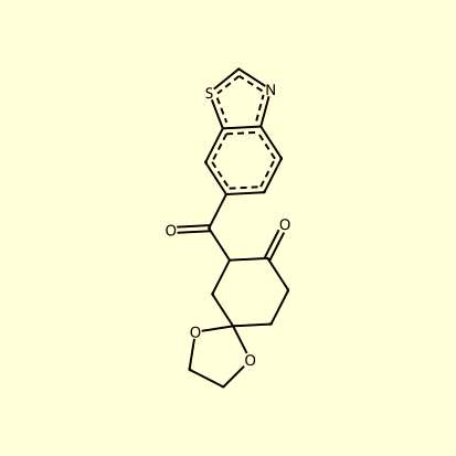 O=C1CCC2(CC1C(=O)c1ccc3ncsc3c1)OCCO2